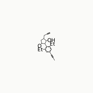 C#CCC1CC(=O)C(c2c(CC)cc(C#CC)cc2CC)C1O